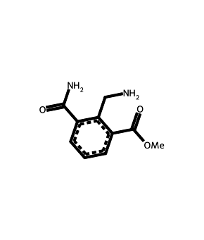 COC(=O)c1cccc(C(N)=O)c1CN